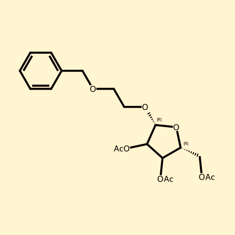 CC(=O)OC[C@H]1O[C@@H](OCCOCc2ccccc2)C(OC(C)=O)C1OC(C)=O